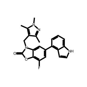 Cc1nn(C)c(C)c1Cn1c(=O)oc2c(F)cc(-c3cccc4[nH]ccc34)cc21